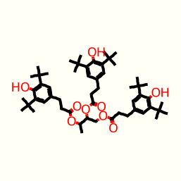 CC(OC(=O)CCc1cc(C(C)(C)C)c(O)c(C(C)(C)C)c1)C(COC(=O)CCc1cc(C(C)(C)C)c(O)c(C(C)(C)C)c1)OC(=O)CCc1cc(C(C)(C)C)c(O)c(C(C)(C)C)c1